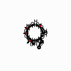 C/C=C/C[C@@H](C)[C@@H](OC(C)=O)[C@H]1C(=O)N[C@@H](CC)C(=O)N(C)[C@H](CCCN(C)C(=O)OCc2ccccc2)C(=O)N[C@@H]([C@H](C)COC)C(=O)N[C@@H](C(C)C)C(=O)N(C)[C@@H](CC(C)C)C(=O)N[C@@H](C)C(=O)N[C@H](C)C(=O)N(C)[C@@H](CC(C)C)C(=O)N(C)[C@@H](CC(C)C)C(=O)N(C)[C@@H](C(C)C)C(=O)N1C